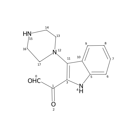 O=CC(=O)c1[nH]c2ccccc2c1N1CCNCC1